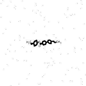 CCCC1CCC(C2CCC(C(=O)OC3CCC(CC)CC3)CC2)CC1